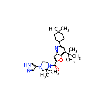 CC1(C)CCC(c2cc(C(C)(C)C)c3oc(C(=O)N4CCN(c5cn[nH]c5)CC4(C)C)cc3n2)CC1